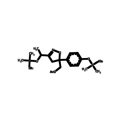 CC(=O)OCC1(c2ccc(O[Si](C)(C)C(C)(C)C)cc2)CC(C(C)O[Si](C)(C)C(C)(C)C)=NO1